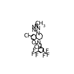 CC(=O)N(Cc1cc(C(F)(F)F)cc(C(F)(F)F)c1)C1CCCN(c2nnn(C)n2)c2cc(Cl)ccc21